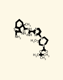 C[C@H]1CN(C(=O)OC(C)(C)C)CCCN1c1ccnc(C(=N)NC(=O)[C@@]2(C)CCCc3sc(N)c(N)c32)n1